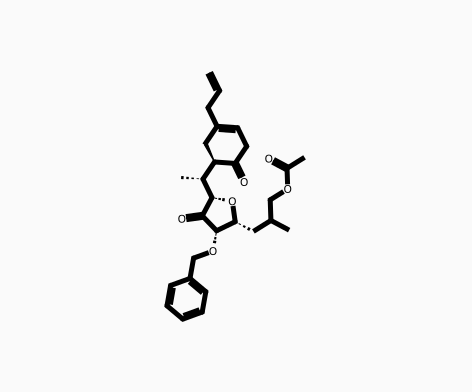 C=CCC1=CCC(=O)[C@@H]([C@@H](C)[C@@H]2O[C@H](CC(C)COC(C)=O)[C@H](OCc3ccccc3)C2=O)C1